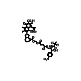 COc1c(N2CC3CCCN(C(=O)OCOC(=O)CCC(=O)OC[C@@H](NC(=O)C(C)(Cl)Cl)[C@H](O)c4ccc([N+](=O)[O-])cc4)C3C2)c(F)c(C)c2c(=O)c(C(=O)O)c(C)n(C3CC3)c12